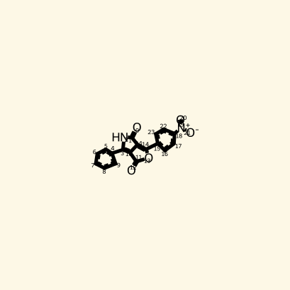 O=C1NC(c2ccccc2)=C2C(=O)OC(c3ccc([N+](=O)[O-])cc3)=C12